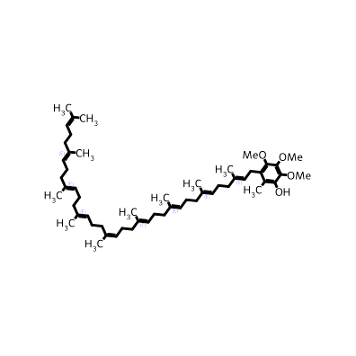 COc1c(O)c(C)c(C/C=C(\C)CC/C=C(\C)CC/C=C(\C)CC/C=C(\C)CCC=C(C)CC/C=C(\C)CC/C=C(\C)CC/C=C(\C)CCC=C(C)C)c(OC)c1OC